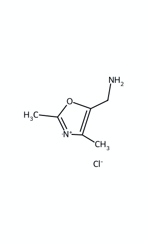 CC1=[N+]C(C)=C(CN)O1.[Cl-]